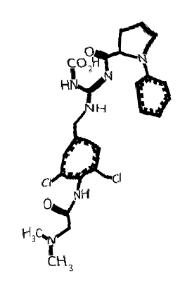 CN(C)CC(=O)Nc1c(Cl)cc(CN/C(=N/C(=O)C2CCCN2c2ccccc2)NC(=O)O)cc1Cl